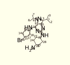 CC(C)c1nn(C(C)C)c2c(Nc3ccc(Br)cc3)nc(NC3CCC(N)CC3)nc12